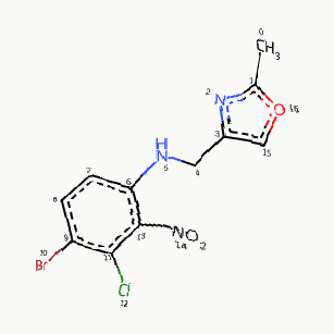 Cc1nc(CNc2ccc(Br)c(Cl)c2[N+](=O)[O-])co1